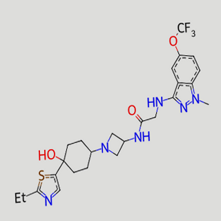 CCc1ncc(C2(O)CCC(N3CC(NC(=O)CNc4nn(C)c5ccc(OC(F)(F)F)cc45)C3)CC2)s1